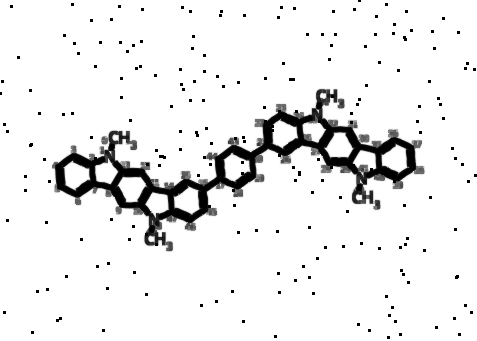 Cn1c2ccccc2c2cc3c(cc21)c1cc(-c2ccc(-c4ccc5c(c4)c4cc6c(cc4n5C)c4ccccc4n6C)cc2)ccc1n3C